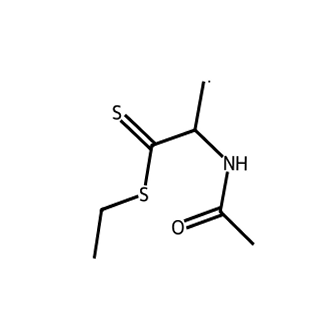 [CH2]C(NC(C)=O)C(=S)SCC